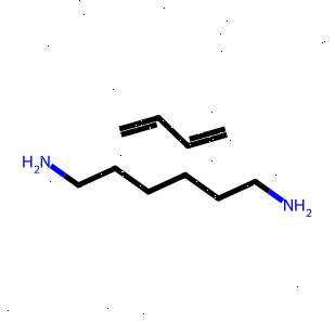 C=CC=C.NCCCCCCN